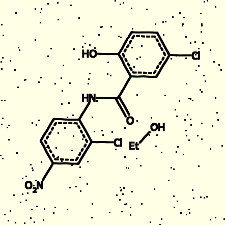 CCO.O=C(Nc1ccc([N+](=O)[O-])cc1Cl)c1cc(Cl)ccc1O